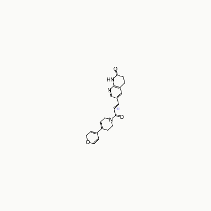 O=C1CCc2cc(/C=C/C(=O)N3CC=C(C4=CCOC=C4)CC3)cnc2N1